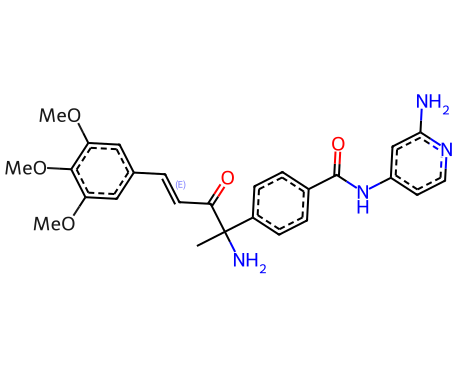 COc1cc(/C=C/C(=O)C(C)(N)c2ccc(C(=O)Nc3ccnc(N)c3)cc2)cc(OC)c1OC